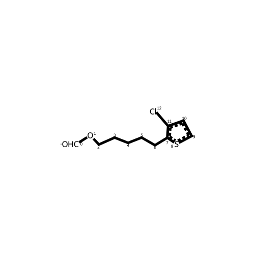 O=[C]OCCCCCc1sccc1Cl